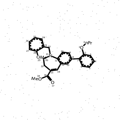 CCCOc1ccccc1-c1ccc2c(c1)C=C(C(=O)OC)CCN2Cc1ccccc1OC